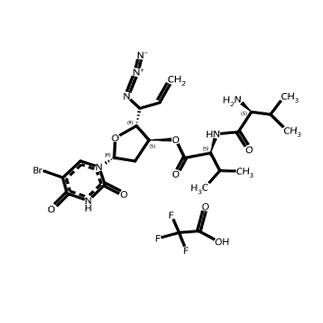 C=CC(N=[N+]=[N-])[C@H]1O[C@@H](n2cc(Br)c(=O)[nH]c2=O)C[C@@H]1OC(=O)[C@@H](NC(=O)[C@@H](N)C(C)C)C(C)C.O=C(O)C(F)(F)F